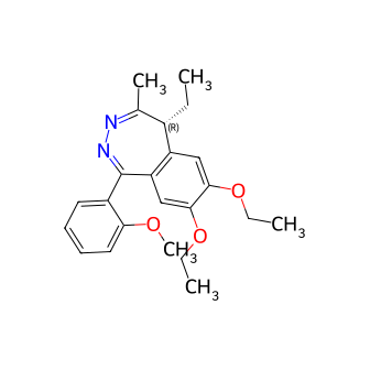 CCOc1cc2c(cc1OCC)[C@@H](CC)C(C)=NN=C2c1ccccc1OC